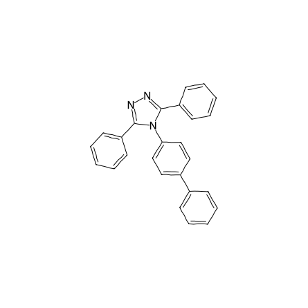 c1ccc(-c2ccc(-n3c(-c4ccccc4)nnc3-c3ccccc3)cc2)cc1